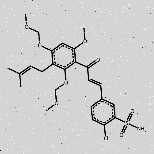 COCOc1cc(OC)c(C(=O)C=Cc2ccc(Cl)c(S(N)(=O)=O)c2)c(OCOC)c1CC=C(C)C